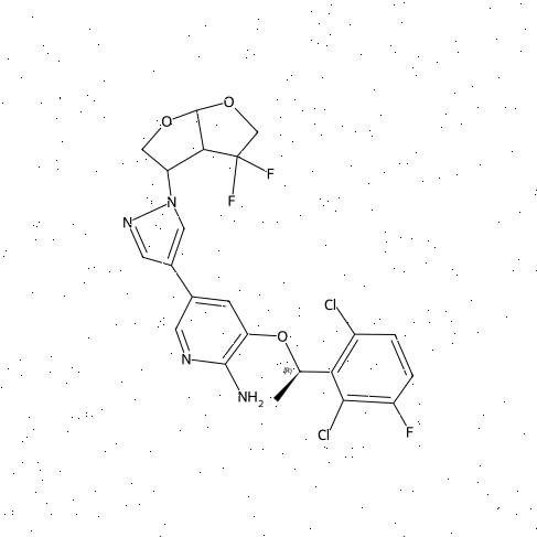 C[C@@H](Oc1cc(-c2cnn(C3COC4OCC(F)(F)C43)c2)cnc1N)c1c(Cl)ccc(F)c1Cl